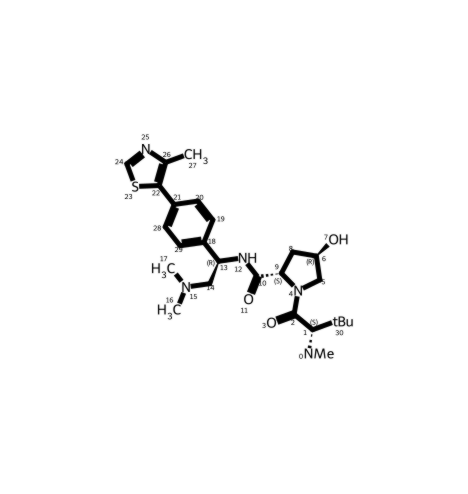 CN[C@H](C(=O)N1C[C@H](O)C[C@H]1C(=O)N[C@@H](CN(C)C)c1ccc(-c2scnc2C)cc1)C(C)(C)C